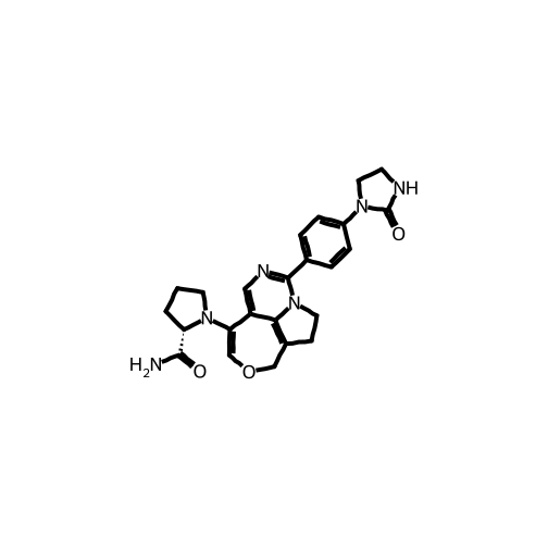 NC(=O)[C@@H]1CCCN1C1=COCC2=C3C1=CN=C(c1ccc(N4CCNC4=O)cc1)N3CC2